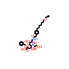 C#CCOCCCCCCCc1ccc(CC(=O)NC[C@@H](O)[C@@H](O)[C@@H]2O[C@@](OCc3ccccc3)(C(=O)O)C[C@H](O)[C@H]2NC(=O)CO)cc1